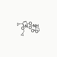 O=C(N[C@H]1CCOC1=O)Oc1ccc(C2CC2)c(OCC2CC2)n1